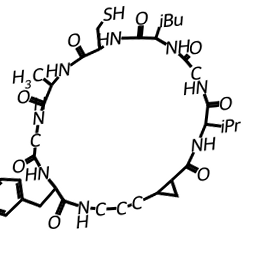 CCC(C)C1NC(=O)CNC(=O)C(C(C)C)NC(=O)C2CC2CCCNC(=O)C(Cc2ccccc2)NC(=O)CNC(=O)C(C)NC(=O)C(CS)NC1=O